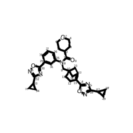 O=C(C1CCOCC1)N(CC12CCC(c3nc(C4CC4)no3)=C(C1)C2)c1cccc(-c2nc(C3CC3)no2)c1